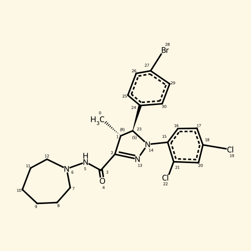 C[C@H]1C(C(=O)NN2CCCCCC2)=NN(c2ccc(Cl)cc2Cl)[C@@H]1c1ccc(Br)cc1